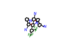 N#Cc1ccc(-c2ccc(-c3ccc(C(F)(F)F)cc3C(F)(F)F)cc2-n2c3ccccc3c3cc(C#N)ccc32)c(-n2c3ccccc3c3cc(C#N)ccc32)c1